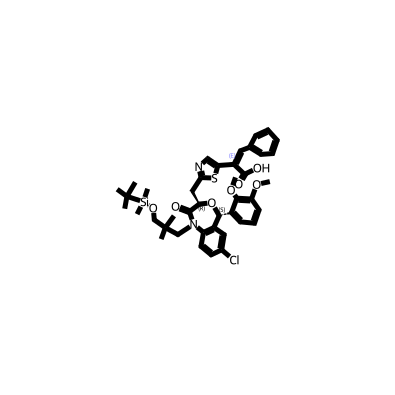 COc1cccc([C@H]2O[C@H](Cc3ncc(/C(=C/c4ccccc4)C(=O)O)s3)C(=O)N(CC(C)(C)CO[Si](C)(C)C(C)(C)C)c3ccc(Cl)cc32)c1OC